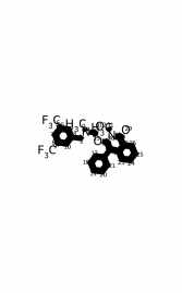 CN(Cc1cc(C(F)(F)F)cc(C(F)(F)F)c1)C(=O)Oc1c(-c2ccccc2)c2ccccc2c(=O)n1C